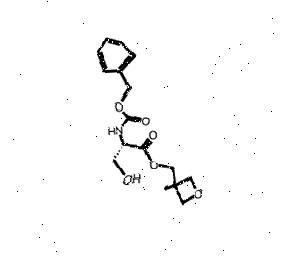 CC1(COC(=O)[C@H](CO)NC(=O)OCc2ccccc2)COC1